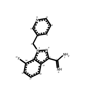 N=C(N)c1nn(Cc2cccnc2)c2c(F)cccc12